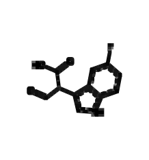 O=CC(C(=O)O)c1c[nH]c2ccc(F)cc12